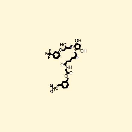 O=C(CCC/C=C\C[C@@H]1[C@@H](/C=C/[C@@H](O)COc2cccc(C(F)(F)F)c2)[C@H](O)C[C@@H]1O)NCC(=O)OCc1cccc(CO[N+](=O)[O-])c1